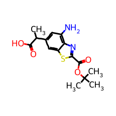 CC(C(=O)O)c1cc(N)c2nc(C(=O)OC(C)(C)C)sc2c1